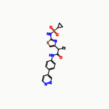 CCC(C(=O)Nc1ccc(-c2ccnnc2)cc1)c1csc(NS(=O)(=O)C2CC2)n1